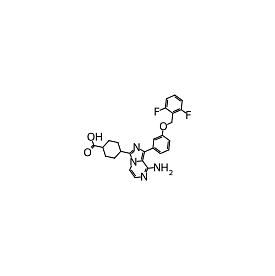 Nc1nccn2c(C3CCC(C(=O)O)CC3)nc(-c3cccc(OCc4c(F)cccc4F)c3)c12